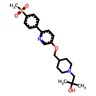 CC(C)(O)CN1CCC(COc2ccc(-c3ccc(S(C)(=O)=O)cc3)nc2)CC1